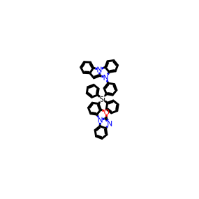 c1ccc([Si](c2ccccc2)(c2cccc(-n3c4ccccc4n4c5ccccc5cc34)c2)c2cccc3c2oc2nc4ccccc4n23)cc1